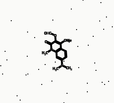 COc1c(OC=O)c(=O)n(C)c2cc(N(C)C)ccc12